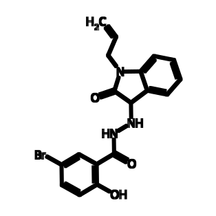 C=CCN1C(=O)C(NNC(=O)c2cc(Br)ccc2O)c2ccccc21